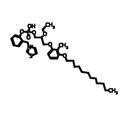 CCCCCCCCCCCCOc1cccc(OCC(COP(=O)(O)Oc2ccccc2C[n+]2ccsc2)OCC)c1C